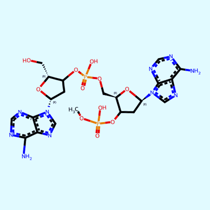 COP(=O)(O)OC1C[C@H](n2cnc3c(N)ncnc32)O[C@@H]1COP(=O)(O)OC1C[C@H](n2cnc3c(N)ncnc32)O[C@@H]1CO